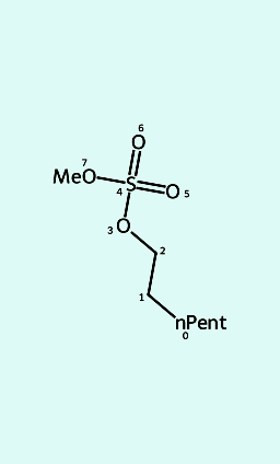 [CH2]CCCCCCOS(=O)(=O)OC